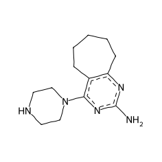 Nc1nc2c(c(N3CCNCC3)n1)CCCCC2